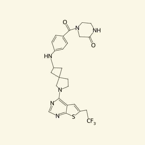 O=C1CN(C(=O)c2ccc(NC3CC4(CCN(c5ncnc6sc(CC(F)(F)F)cc56)C4)C3)cc2)CCN1